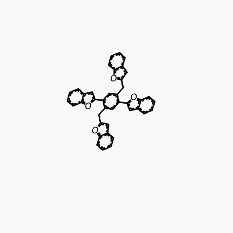 c1ccc2oc(Cc3cc(-c4cc5ccccc5o4)c(Cc4cc5ccccc5o4)cc3-c3cc4ccccc4o3)cc2c1